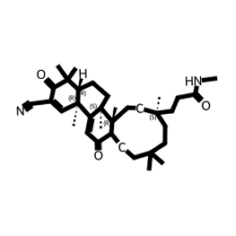 CNC(=O)CC[C@@]1(C)CCC(C)(C)CCC2C(=O)C=C3[C@@]4(C)C=C(C#N)C(=O)C(C)(C)[C@@H]4CC[C@@]3(C)[C@]2(C)CC1